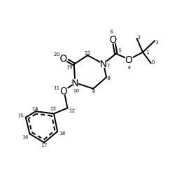 CC(C)(C)OC(=O)N1CCN(OCc2ccccc2)C(=O)C1